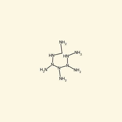 NCNN(N)N(N)N(N)NN